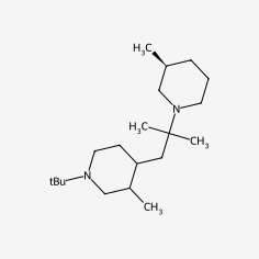 CC1CN(C(C)(C)C)CCC1CC(C)(C)N1CCC[C@H](C)C1